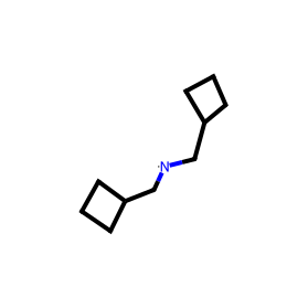 C1CC(C[N]CC2CCC2)C1